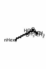 CCCCCCC1CC1CCCCCCCCCC(=O)OC[C@@H](O)COP(=O)([O-])OCC[N+](C)(C)C